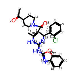 CC(=O)C1CCN(C(=O)C2=C(C)NC(Nc3nc4ccccc4o3)=NC2c2ccccc2Cl)CC1